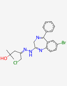 CC(C)(O)CC(CCl)=NNC1=Nc2ccc(Br)cc2C(c2ccccc2)=NC1